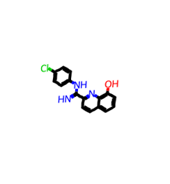 N=C(Nc1ccc(Cl)cc1)c1ccc2cccc(O)c2n1